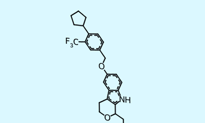 O=C(O)CC1OCCc2c1[nH]c1ccc(OCc3ccc(C4CCCC4)c(C(F)(F)F)c3)cc21